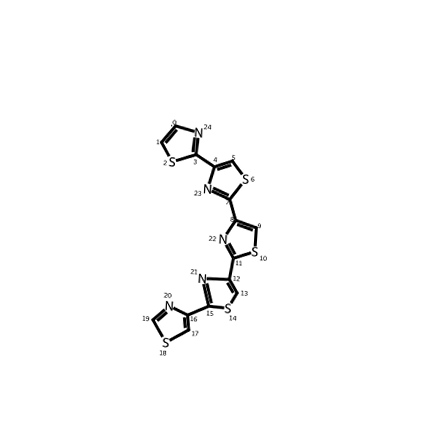 [c]1csc(-c2csc(-c3csc(-c4csc(-c5cscn5)n4)n3)n2)n1